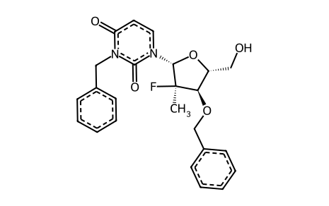 C[C@@]1(F)[C@H](OCc2ccccc2)[C@@H](CO)O[C@H]1n1ccc(=O)n(Cc2ccccc2)c1=O